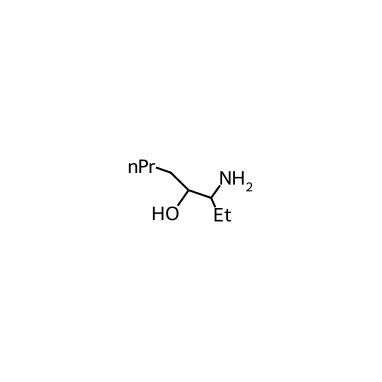 CCCCC(O)C(N)CC